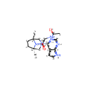 CC(=O)NCC(=O)N1[C@@H]2CC[C@@H]1CN(c1ncnc3[nH]ccc13)C2